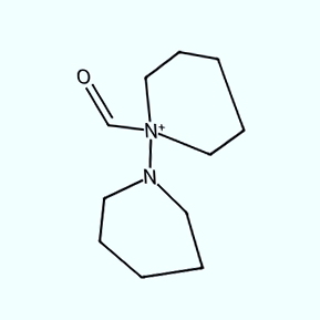 O=C[N+]1(N2CCCCC2)CCCCC1